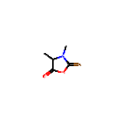 CC1C(=O)OC(=S)N1C